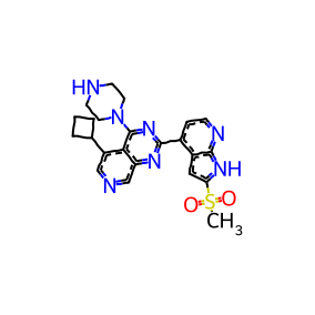 CS(=O)(=O)c1cc2c(-c3nc(N4CCNCC4)c4c(C5CCC5)cncc4n3)ccnc2[nH]1